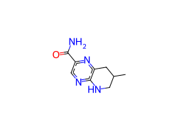 CC1CNc2ncc(C(N)=O)nc2C1